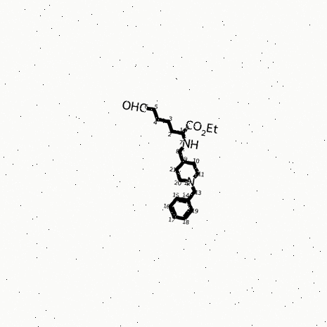 CCOC(=O)C(CCCCC=O)NCC1CCN(Cc2ccccc2)CC1